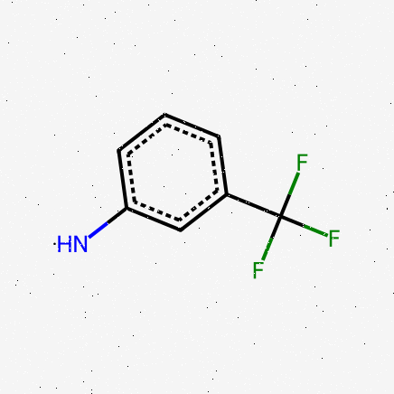 [NH]c1cccc(C(F)(F)F)c1